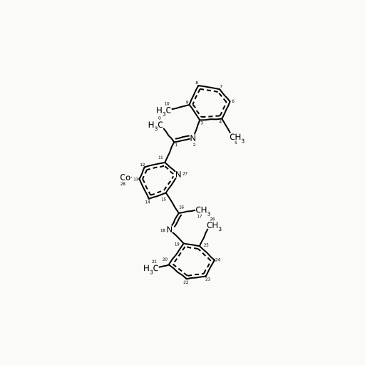 C/C(=N\c1c(C)cccc1C)c1cccc(/C(C)=N/c2c(C)cccc2C)n1.[Co]